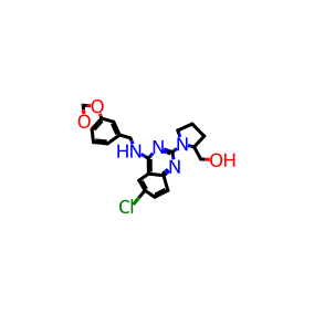 OCC1CCCN1c1nc(NCc2ccc3c(c2)OCO3)c2cc(Cl)ccc2n1